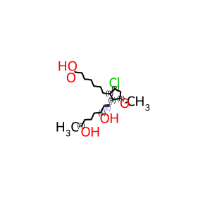 CO[C@@H]1C[C@@H](Cl)[C@H](CCCCCCC(=O)O)[C@H]1/C=C/[C@@H](O)CCC[C@@H](C)O